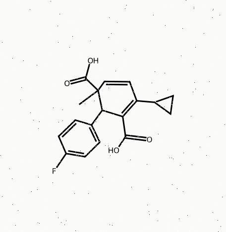 CC1(C(=O)O)C=CC(C2CC2)=C(C(=O)O)C1c1ccc(F)cc1